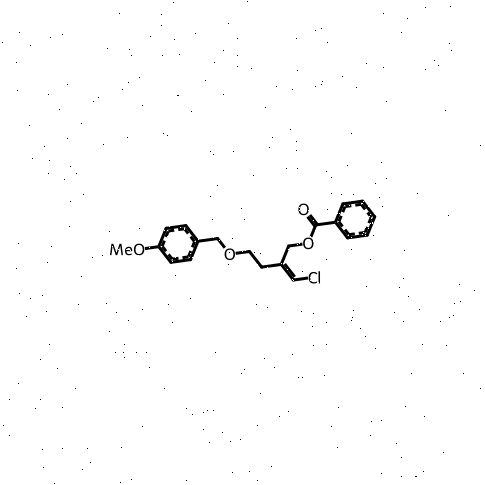 COc1ccc(COCCC(=CCl)COC(=O)c2ccccc2)cc1